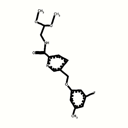 COC(CNC(=O)c1ccc(COc2cc(C)cc(F)c2)cn1)OC